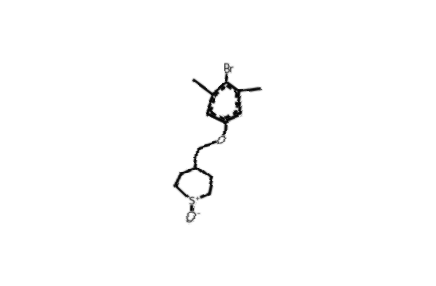 Cc1cc(OCC2CC[S+]([O-])CC2)cc(C)c1Br